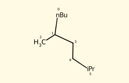 C[CH]CCC(C)CCC(C)C